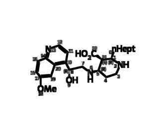 CCCCCCC[C@H]1NCC[C@@H](NC[C@H](O)c2ccnc3ccc(OC)cc23)[C@H]1C(=O)O